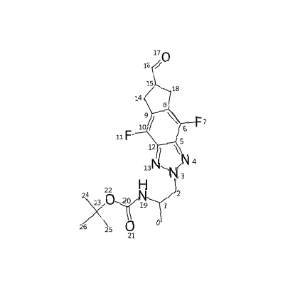 CC(Cn1nc2c(F)c3c(c(F)c2n1)CC(C=O)C3)NC(=O)OC(C)(C)C